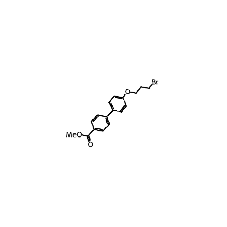 COC(=O)c1ccc(-c2ccc(OCCCBr)cc2)cc1